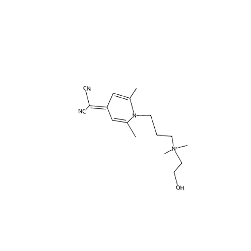 CC1=CC(=C(C#N)C#N)C=C(C)N1CCC[N+](C)(C)CCO